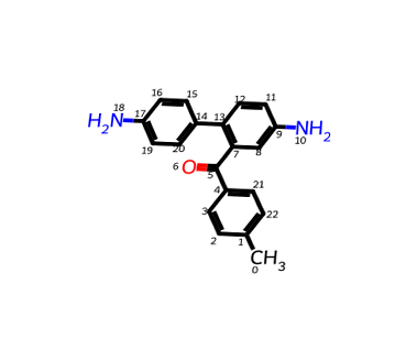 Cc1ccc(C(=O)c2cc(N)ccc2-c2ccc(N)cc2)cc1